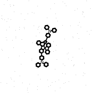 c1ccc(N(c2ccccc2)c2ccc(-c3ccc4c(c3)C3(c5ccccc5-c5ccccc53)c3c-4c4ccccc4c4cc(-c5ccc(N(c6ccccc6)c6ccccc6)cc5)ccc34)cc2)cc1